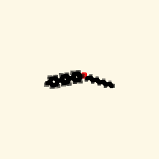 CCCCCCCCCOc1ccc(-c2ccc(C3CCC(C)CC3)cc2)cc1